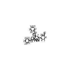 Fc1cccc(-c2cc(OCc3ccccc3)c(OCc3ccccc3)nn2)c1